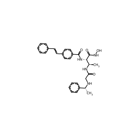 C[C@@H](NCC(=O)N[C@H](C)[C@H](NC(=O)c1ccc(/C=C/c2ccccc2)cc1)C(=O)NO)c1ccccc1